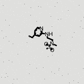 CCc1ccnc(NCCN(C)S(C)(=O)=O)c1